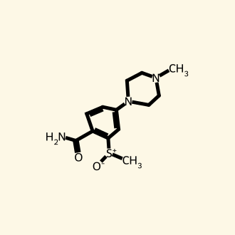 CN1CCN(c2ccc(C(N)=O)c([S+](C)[O-])c2)CC1